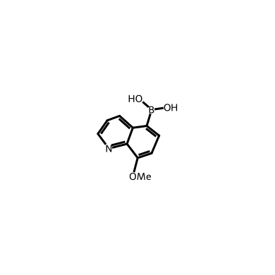 COc1ccc(B(O)O)c2cccnc12